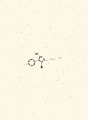 CCOCCN(C)c1sc(C(=O)O)c(-c2ccc(C)cc2)c1C#N